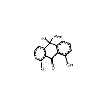 CCCCCC1(O)c2cccc(O)c2C(=O)c2c(O)cccc21